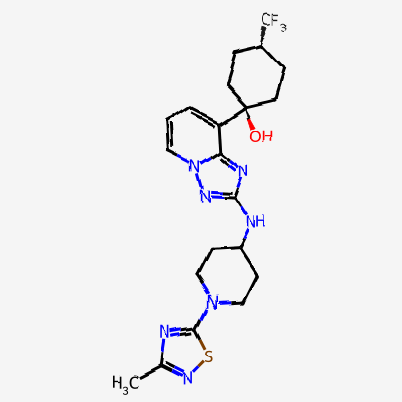 Cc1nsc(N2CCC(Nc3nc4c([C@]5(O)CC[C@@H](C(F)(F)F)CC5)cccn4n3)CC2)n1